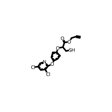 C#CCOC(=O)C(CS)Oc1ccc(Oc2ncc(Cl)cc2Cl)cc1